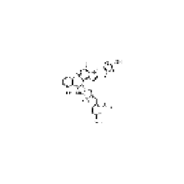 CCc1cccc(CC)c1-n1nc2c(c1-c1ccc(F)c3c1ccn3CC1=C(C)OC(O)O1)CN(Cc1ccc(C(F)(F)F)cc1C(F)(F)F)C2(C)C